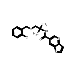 CC(C)(COCc1ccccc1Cl)NC(=O)c1cnc2ccsc2c1